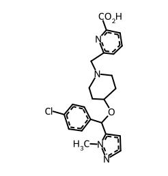 Cn1nccc1C(OC1CCN(Cc2cccc(C(=O)O)n2)CC1)c1ccc(Cl)cc1